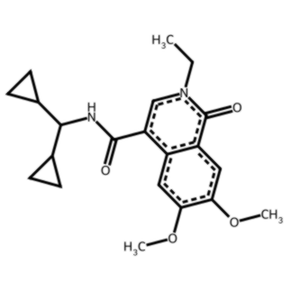 CCn1cc(C(=O)NC(C2CC2)C2CC2)c2cc(OC)c(OC)cc2c1=O